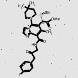 COC(=O)[C@@H](OC(C)(C)C)c1c(C)c(C(=O)NCC(=O)Cc2ccc(F)cc2)c2nccn2c1N1CCC(C)(C)CC1